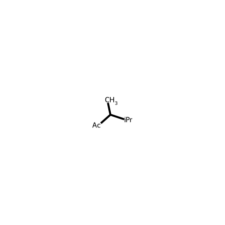 CC(=O)C(C)C(C)C